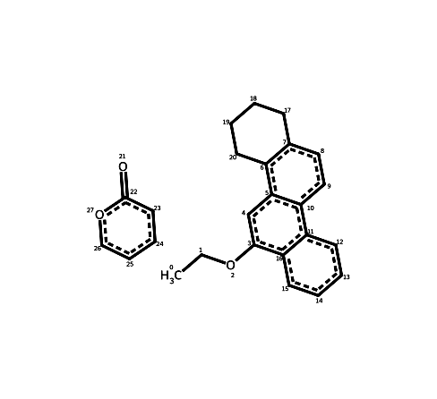 CCOc1cc2c3c(ccc2c2ccccc12)CCCC3.O=c1cccco1